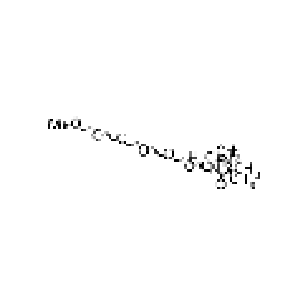 COCCOCCOCCOCCOCCOCCN1C(=O)C(C)(C)N(Cl)C1(C)C